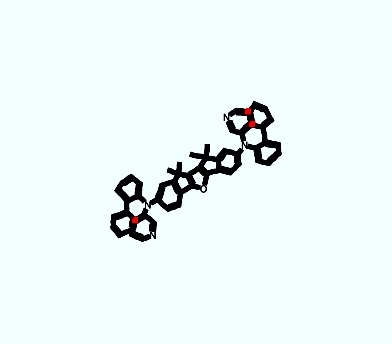 CC1(C)c2cc(N(c3cccnc3)c3ccccc3-c3ccccc3)ccc2-c2oc3c(c21)C(C)(C)c1cc(N(c2cccnc2)c2ccccc2-c2ccccc2)ccc1-3